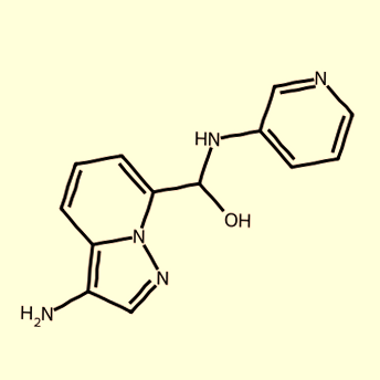 Nc1cnn2c(C(O)Nc3cccnc3)cccc12